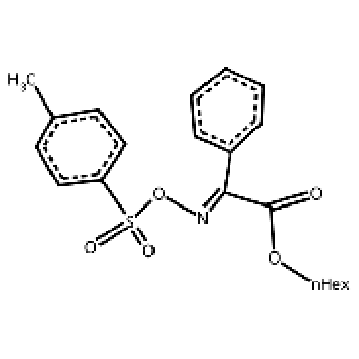 CCCCCCOC(=O)C(=NOS(=O)(=O)c1ccc(C)cc1)c1ccccc1